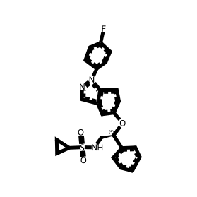 O=S(=O)(NC[C@@H](Oc1ccc2c(cnn2-c2ccc(F)cc2)c1)c1ccccc1)C1CC1